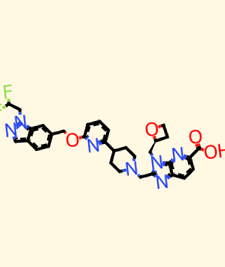 O=C(O)c1ccc2nc(CN3CCC(c4cccc(OCc5ccc6cnn(CC(F)F)c6c5)n4)CC3)n(C[C@@H]3CCO3)c2n1